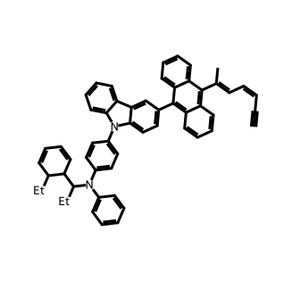 C#C/C=C\C=C(/C)c1c2ccccc2c(-c2ccc3c(c2)c2ccccc2n3-c2ccc(N(c3ccccc3)C(CC)C3C=CC=CC3CC)cc2)c2ccccc12